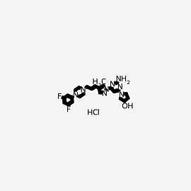 Cc1c(C=CCN2CCN(c3cc(F)cc(F)c3)CC2)cnn1-c1cc(N2CC[C@@H](O)C2)nc(N)n1.Cl